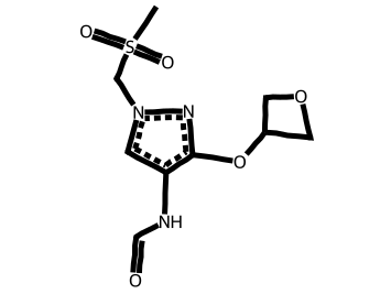 CS(=O)(=O)Cn1cc(NC=O)c(OC2COC2)n1